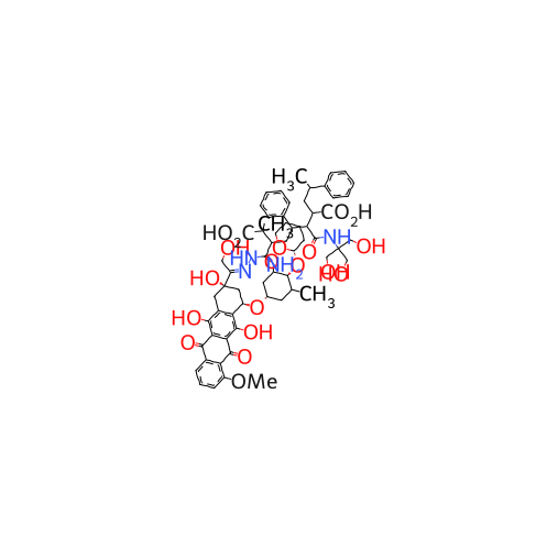 COc1cccc2c1C(=O)c1c(O)c3c(c(O)c1C2=O)C[C@](O)(C(CO)=NNC(=O)C(CC(c1ccccc1)C(C(=O)NC(CO)(CO)CO)C(CC(C)c1ccccc1)C(=O)O)C(C)C(=O)O)C[C@H]3O[C@H]1CC(C)[C@H](O[C@H]2CCCCO2)C(N)C1